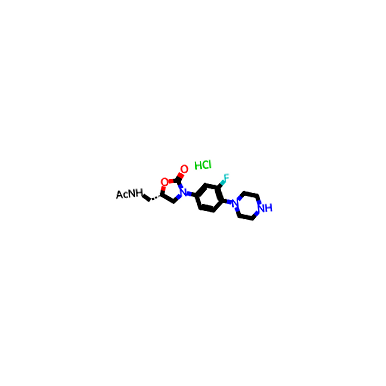 CC(=O)NC[C@H]1CN(c2ccc(N3CCNCC3)c(F)c2)C(=O)O1.Cl